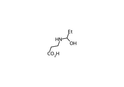 CCC(O)NCCC(=O)O